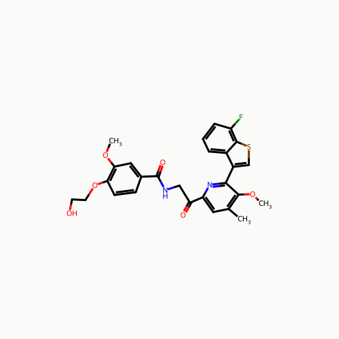 COc1cc(C(=O)NCC(=O)c2cc(C)c(OC)c(-c3csc4c(F)cccc34)n2)ccc1OCCO